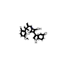 C=C(/C=C1\C(=O)C(c2c[nH]c3ccc(Cl)cc23)=C1O)C(C)(C)c1cc(OC)ccc1C